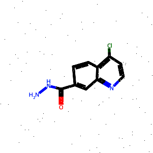 NNC(=O)c1ccc2c(Cl)ccnc2c1